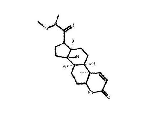 CON(C)C(=O)C1CC[C@H]2[C@@H]3CCC4NC(=O)C=C[C@]4(C)[C@@H]3CC[C@]12C